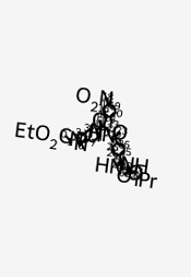 CCOC(=O)Cn1cc2c(n1)CCN(C(=O)[C@H](Cc1ccc([N+](=O)[O-])cc1)NC(=O)c1ccc(C(=N)NC(=O)OC(C)C)cc1)C2